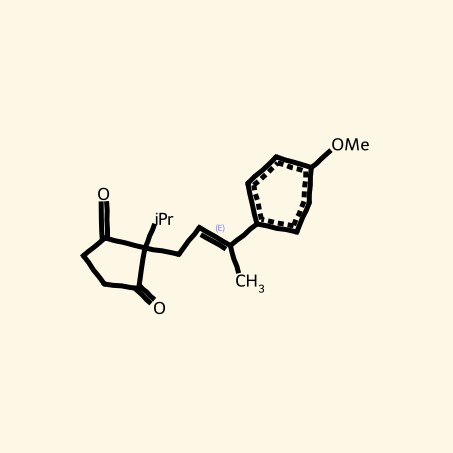 COc1ccc(/C(C)=C/CC2(C(C)C)C(=O)CCC2=O)cc1